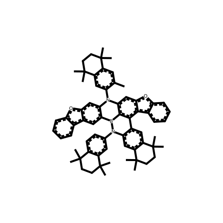 Cc1cc2c(cc1N1c3cc4oc5ccccc5c4cc3B3c4c1cc1oc5ccccc5c1c4-c1cc4c(cc1N3c1ccc3c(c1)C(C)(C)CCC3(C)C)C(C)(C)CCC4(C)C)C(C)(C)CCC2(C)C